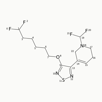 FC(F)CCCCCOc1nsnc1C1=CCCN(C(F)F)C1